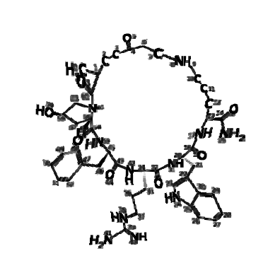 CC1CCC(=O)CCNCCCC[C@@H](C(N)=O)NC(=O)[C@H](Cc2c[nH]c3ccccc23)NC(=O)[C@H](CCCNC(=N)N)NC(=O)[C@@H](Cc2ccccc2)NC(=O)[C@@H]2C[C@@H](O)CN2C1=O